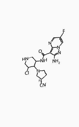 N#C[C@@H]1CCN(C2C(Cl)CNCC2NC(=O)c2c(N)nn3cc(F)cnc23)C1